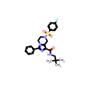 CC(C)(C)CNC(=O)c1nc(-c2ccccc2)n2c1CN(S(=O)(=O)c1ccc(F)cc1)CC2